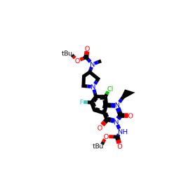 CN(C(=O)OC(C)(C)C)C1CCN(c2c(F)cc3c(=O)n(NC(=O)OC(C)(C)C)c(=O)n(C4CC4)c3c2Cl)C1